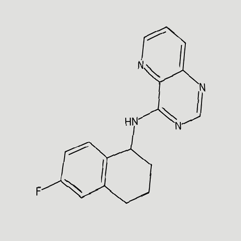 Fc1ccc2c(c1)CCCC2Nc1ncnc2cccnc12